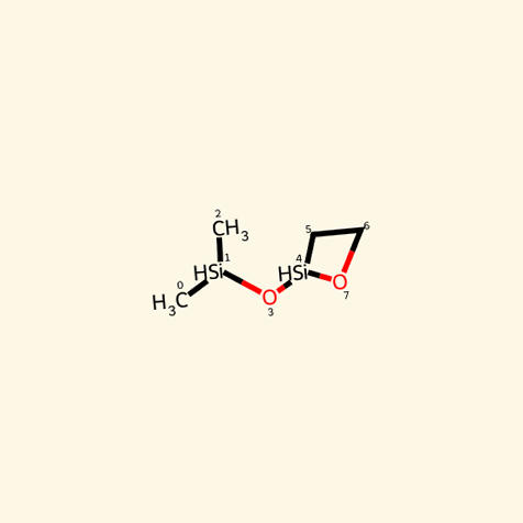 C[SiH](C)O[SiH]1CCO1